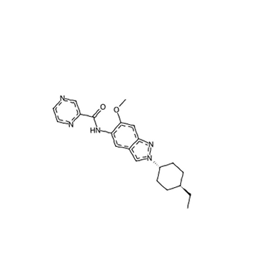 CC[C@H]1CC[C@H](n2cc3cc(NC(=O)c4cnccn4)c(OC)cc3n2)CC1